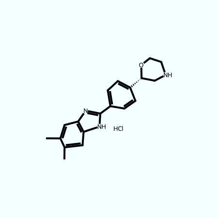 Cc1cc2nc(-c3ccc([C@H]4CNCCO4)cc3)[nH]c2cc1C.Cl